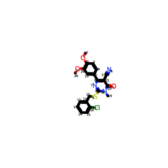 COc1ccc(-c2nc(SCc3ccccc3Cl)n(C)c(=O)c2C#N)cc1OC